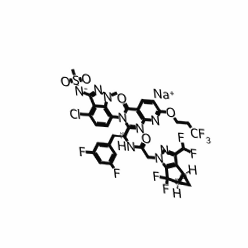 Cn1nc([N-]S(C)(=O)=O)c2c(Cl)ccc(-n3c([C@H](Cc4cc(F)cc(F)c4)NC(=O)Cn4nc(C(F)F)c5c4C(F)(F)[C@@H]4C[C@H]54)nc4nc(OCCC(F)(F)F)ccc4c3=O)c21.[Na+]